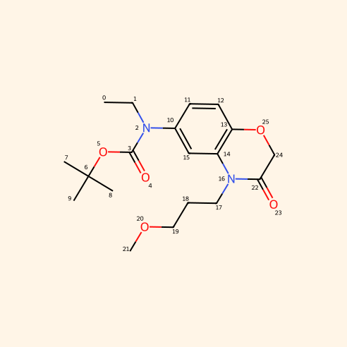 CCN(C(=O)OC(C)(C)C)c1ccc2c(c1)N(CCCOC)C(=O)CO2